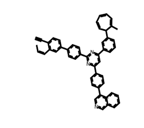 C#Cc1ccc(-c2ccc(-c3nc(-c4ccc(-c5cncc6ccccc56)cc4)cc(-c4cccc(C5C=CC=CC=C5C)c4)n3)cc2)cc1/C=C\C